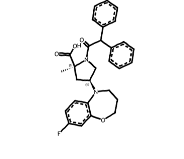 C[C@@]1(C(=O)O)C[C@H](N2CCCOc3cc(F)ccc32)CN1C(=O)C(c1ccccc1)c1ccccc1